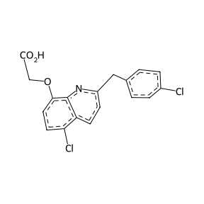 O=C(O)COc1ccc(Cl)c2ccc(Cc3ccc(Cl)cc3)nc12